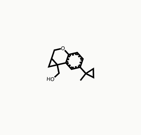 CC1(c2ccc3c(c2)C2(CO)CC2CO3)CC1